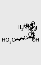 Nc1nc2c(ncn2[C@H]2C[C@H](O)[C@@H](COCCCCCC(=O)O)O2)c(=O)[nH]1